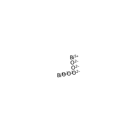 [Bi+5].[Bi+5].[O-2].[O-2].[O-2].[O-2].[O-2]